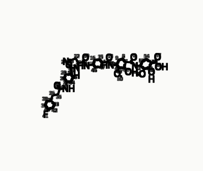 COc1c(NC(=O)c2ccc(NC(=O)c3ccc(NC(=O)C(CC#N)NC(=O)c4ccc(NC(=O)CCc5ccc(F)cc5)cc4)cc3)c(OC)c2O)ccc(C(=O)O)c1O